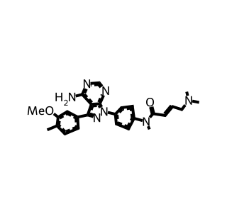 COc1cc(-c2nn(-c3ccc(N(C)C(=O)C=CCN(C)C)cc3)c3ncnc(N)c23)ccc1C